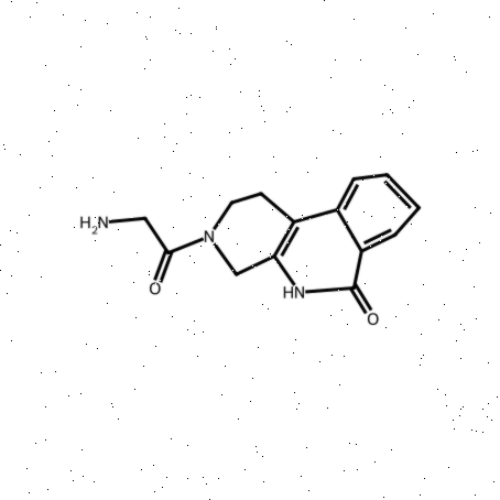 NCC(=O)N1CCc2c([nH]c(=O)c3ccccc23)C1